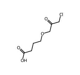 O=C(O)CCCOCC(=O)CCl